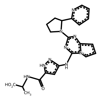 CC(NC(=O)c1cc(Nc2nc(N3CCCC3c3ccccn3)nc3cccn23)n[nH]1)C(=O)O